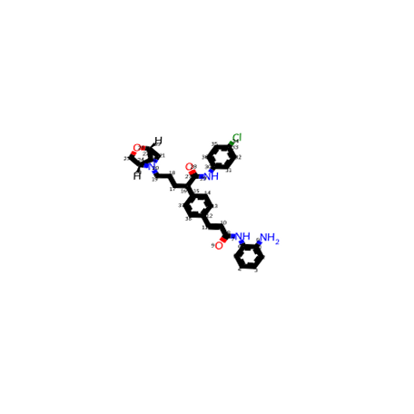 Nc1ccccc1NC(=O)/C=C/c1ccc(C(CCCN2C[C@@H]3C[C@H]2CO3)C(=O)Nc2ccc(Cl)cc2)cc1